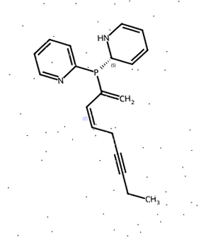 C=C(/C=C\CC#CCC)P(c1ccccn1)[C@H]1C=CC=CN1